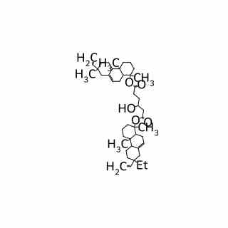 C=CC1(C)CCC2C(=CCC3C(C)(OC(=O)CCC(O)CC(=O)OC4(C)CCCC5(C)C6CCC(C=C)(CC)CC6=CCC45)CCCC23C)C1